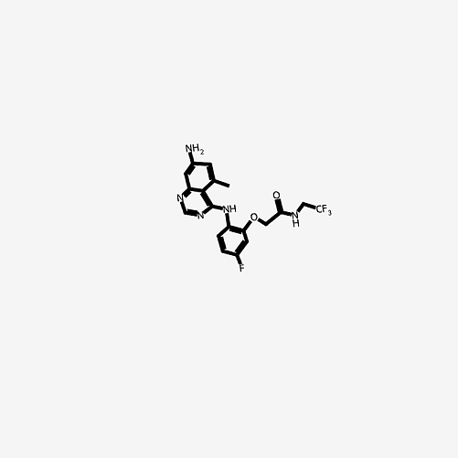 Cc1cc(N)cc2ncnc(Nc3ccc(F)cc3OCC(=O)NCC(F)(F)F)c12